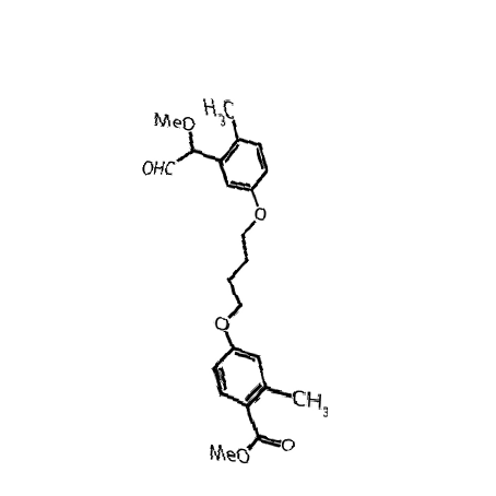 COC(=O)c1ccc(OCCCCOc2ccc(C)c(C(C=O)OC)c2)cc1C